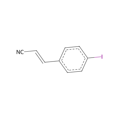 N#CC=Cc1ccc(I)cc1